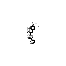 CNC(Cc1ccc(N)cc1)c1nc(-c2cccs2)cs1